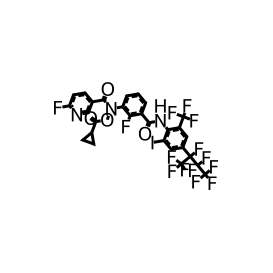 O=C(Nc1c(I)cc(C(F)(C(F)(F)F)C(F)(F)C(F)(F)F)cc1C(F)(F)F)c1cccc(N(OC(=O)C2CC2)C(=O)c2ccc(F)nc2)c1F